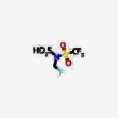 O=S(=O)(O)N(CF)S(=O)(=O)C(F)(F)F